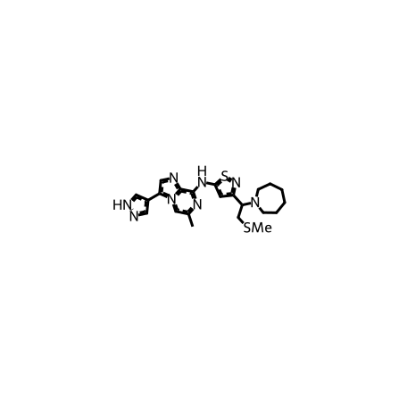 CSCC(c1cc(Nc2nc(C)cn3c(-c4cn[nH]c4)cnc23)sn1)N1CCCCCC1